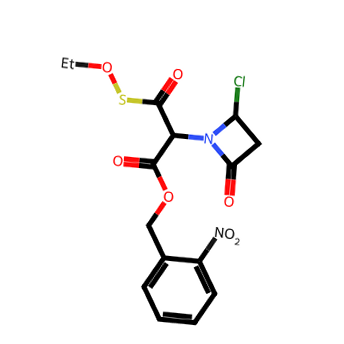 CCOSC(=O)C(C(=O)OCc1ccccc1[N+](=O)[O-])N1C(=O)CC1Cl